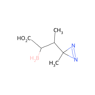 BC(C(=O)O)C(C)C1(C)N=N1